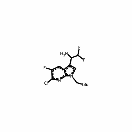 CC(C)(C)Cn1cc(C(N)C(F)F)c2cc(F)c(Cl)nc21